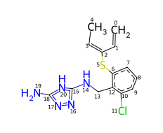 C=C/C(=C\C)Sc1cccc(Cl)c1CNc1nnc(N)[nH]1